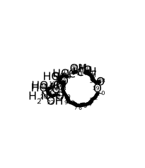 C[C@@H]1C\C=C/C=C/C=C/C=C/[C@H](O[C@@H]2O[C@H](C)[C@@H](O)[C@H](N)[C@@H]2O)C[C@@H]2O[C@](O)(C[C@@H](O)C[C@H]3O[C@@H]3/C=C/C(=O)O1)C[C@H](O)[C@H]2C(=O)O